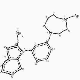 CC(=O)N1CCCN(c2cc(-n3c(N)nc4ccccc43)ncn2)CC1